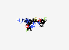 CC[C@H](NC(=O)c1cc(-c2cc(C(=O)NC(C)CF)c3nc(N)nn3c2)cs1)c1ccc(F)cc1